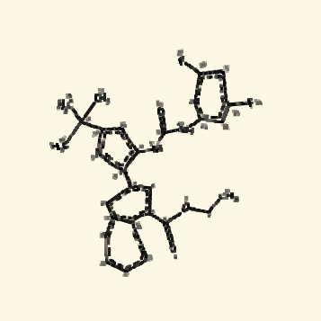 CCOC(=O)c1cc(-n2nc(C(C)(C)C)cc2NC(=O)Nc2cc(F)cc(F)c2)cc2ccccc12